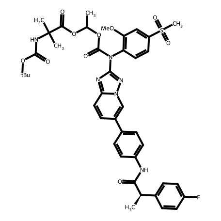 COc1cc(S(C)(=O)=O)ccc1N(C(=O)OC(C)OC(=O)C(C)(C)NC(=O)OC(C)(C)C)c1nc2ccc(-c3ccc(NC(=O)[C@H](C)c4ccc(F)cc4)cc3)cn2n1